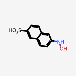 O=S(=O)(O)c1ccc2cc(NO)ccc2c1